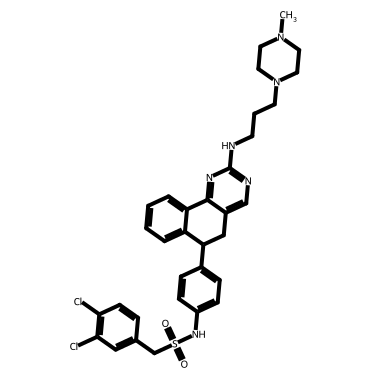 CN1CCN(CCCNc2ncc3c(n2)-c2ccccc2C(c2ccc(NS(=O)(=O)Cc4ccc(Cl)c(Cl)c4)cc2)C3)CC1